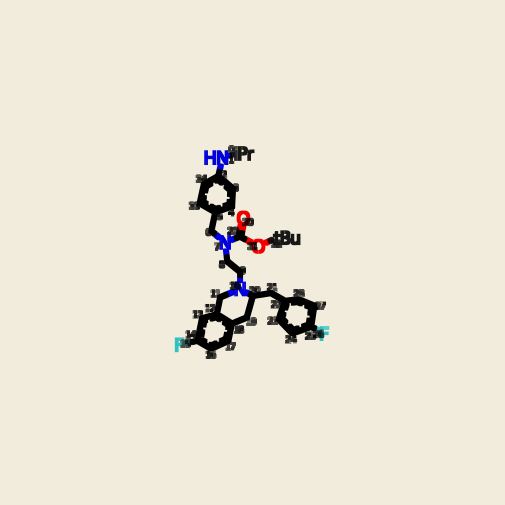 CC(C)Nc1ccc(CN(CCN2Cc3cc(F)ccc3CC2Cc2ccc(F)cc2)C(=O)OC(C)(C)C)cc1